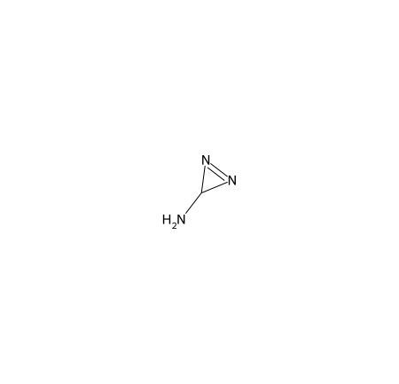 NC1N=N1